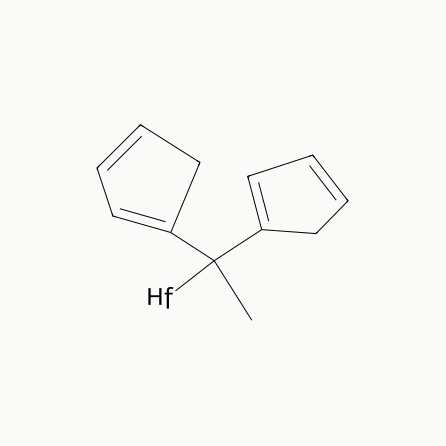 C[C]([Hf])(C1=CC=CC1)C1=CC=CC1